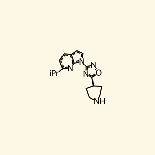 CC(C)c1ccc2ccn(-c3noc(C4CCNCC4)n3)c2n1